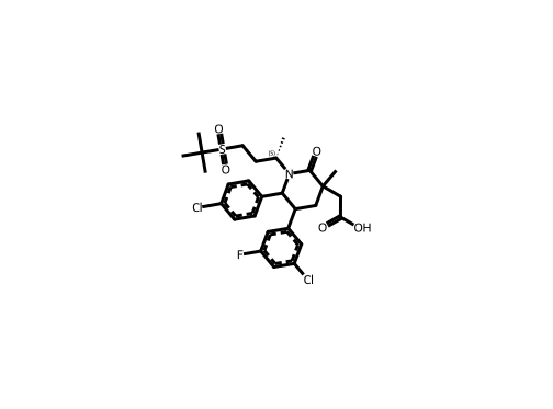 C[C@@H](CCS(=O)(=O)C(C)(C)C)N1C(=O)C(C)(CC(=O)O)CC(c2cc(F)cc(Cl)c2)C1c1ccc(Cl)cc1